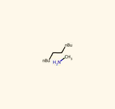 CCCCCCCCCC.CN